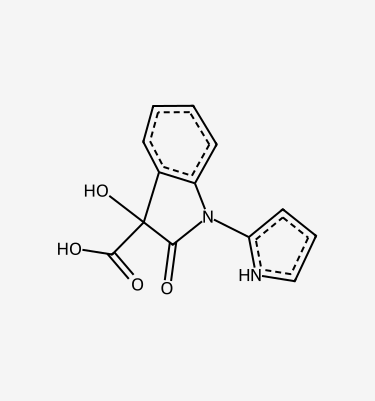 O=C(O)C1(O)C(=O)N(c2ccc[nH]2)c2ccccc21